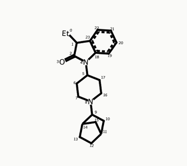 CCC1C(=O)N(C2CCN(C3CC4CCC3C4)CC2)c2ccccc21